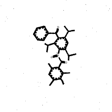 Cc1cc(C)c(C(=O)[PH](=O)c2c(C(C)C)cc(C(C)C)c(C(=O)c3ccccc3)c2C(C)C)c(C)c1C